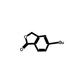 CCC(C)c1ccc2c(c1)COC2=O